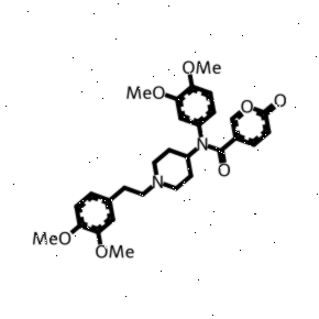 COc1ccc(CCN2CCC(N(C(=O)c3ccc(=O)oc3)c3ccc(OC)c(OC)c3)CC2)cc1OC